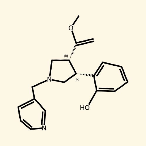 C=C(OC)[C@H]1CN(Cc2cccnc2)C[C@H]1c1ccccc1O